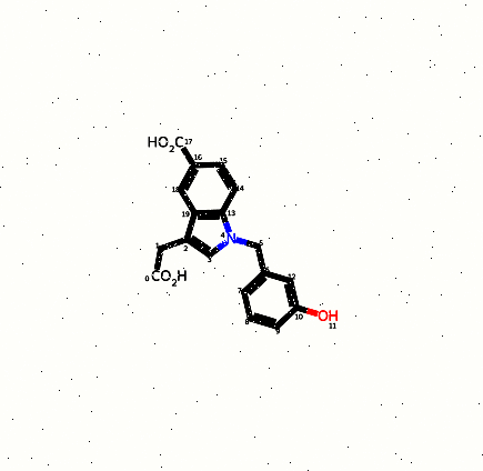 O=C(O)Cc1cn(Cc2cccc(O)c2)c2ccc(C(=O)O)cc12